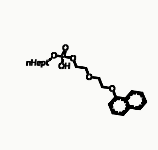 CCCCCCCOP(=O)(O)OCCOCCOc1cccc2ccccc12